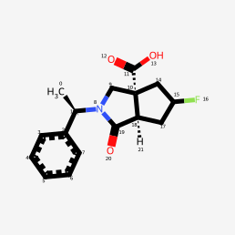 C[C@H](c1ccccc1)N1C[C@@]2(C(=O)O)CC(F)C[C@H]2C1=O